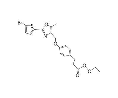 CCOOC(=O)CCc1ccc(OCc2nc(-c3ccc(Br)s3)oc2C)cc1